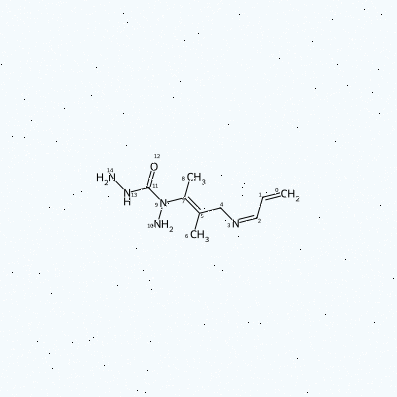 C=C/C=N\C/C(C)=C(\C)N(N)C(=O)NN